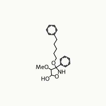 COC1C(O)ONC1(OCCCCCc1ccccc1)c1ccccc1